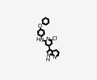 Clc1cc(-c2c[nH]c3ncccc23)cc(Nc2ccc(Oc3ccccc3)cc2)n1